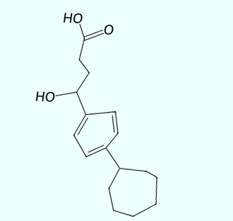 O=C(O)CCC(O)c1ccc(C2CCCCCC2)cc1